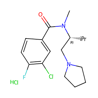 CC(C)[C@H](CN1CCCC1)N(C)C(=O)c1ccc(F)c(Cl)c1.Cl